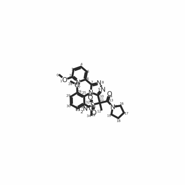 COc1cccc(-c2nnc(C(C)(C(=O)N3CCCC3)S(N)(=O)=O)n2-c2c(OC)cccc2OC)n1